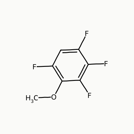 COc1c(F)cc(F)c(F)c1F